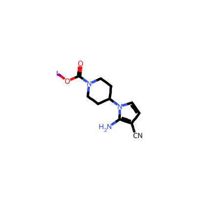 N#Cc1ccn(C2CCN(C(=O)OI)CC2)c1N